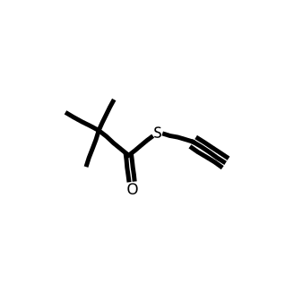 C#CSC(=O)C(C)(C)C